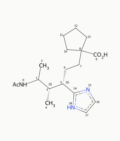 CC(=O)NC(C)[C@@H](C)[C@H](CCC1(C(=O)O)CCCC1)c1ncc[nH]1